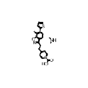 CNC.Cc1c(-c2cccs2)ccc2c(CCC3CCN(C(=O)O)CC3)noc12